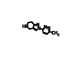 Cc1ccc(-n2cc3c(n2)CCNC3)nn1